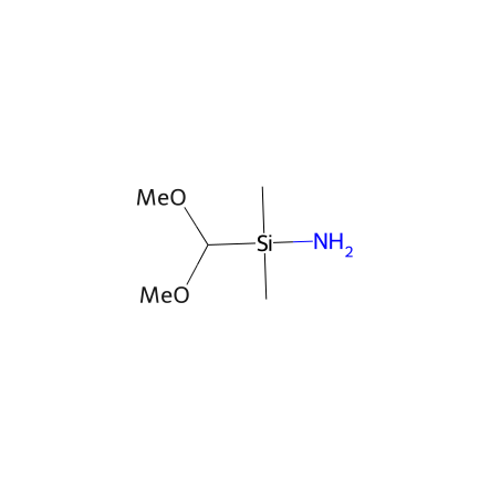 COC(OC)[Si](C)(C)N